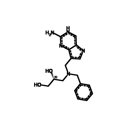 Nc1nc2c(CN(Cc3ccccc3)C[C@@H](O)CO)cnc-2c[nH]1